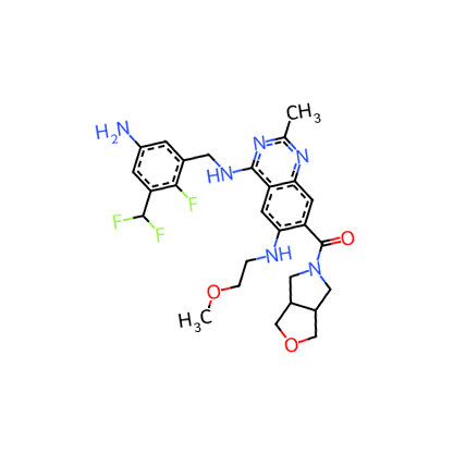 COCCNc1cc2c(NCc3cc(N)cc(C(F)F)c3F)nc(C)nc2cc1C(=O)N1CC2COCC2C1